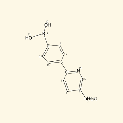 CCCCCCCc1ccc(-c2ccc(B(O)O)cc2)nc1